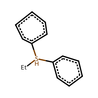 CC[SH](c1ccccc1)c1ccccc1